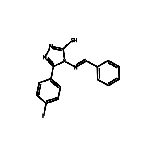 Fc1ccc(-c2nnc(S)n2N=Cc2ccccc2)cc1